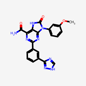 COc1cccc(-n2c(=O)[nH]c3c(C(N)=O)nc(-c4cccc(-c5nc[nH]n5)c4)nc32)c1